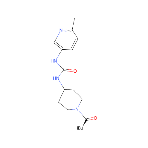 CC[C@H](C)C(=O)N1CCC(NC(=O)Nc2ccc(C)nc2)CC1